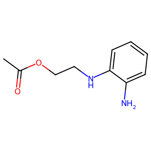 CC(=O)OCCNc1ccccc1N